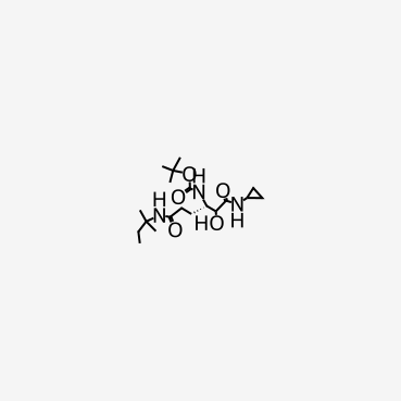 CCC(C)(C)NC(=O)CC[C@H](NC(=O)OC(C)(C)C)C(O)C(=O)NC1CC1